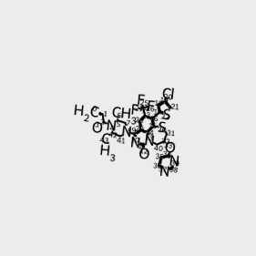 C=CC(=O)N1[C@H](C)CN(c2nc(=O)n3c4c(c(-c5cc(Cl)cs5)c(C(F)(F)F)cc24)SC[C@@H](Oc2ccncn2)C3)C[C@@H]1C